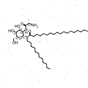 CCCCCCCCCCCCCCCCCC(=O)N(CCCCCCCCCCCC)[C@@H]1O[C@H](CO)[C@@H](O)[C@H](O)[C@H]1NC(=O)[C@H](C)N